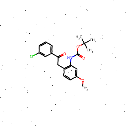 COc1ccc(CC(=O)c2cccc(Cl)c2)c(NC(=O)OC(C)(C)C)c1